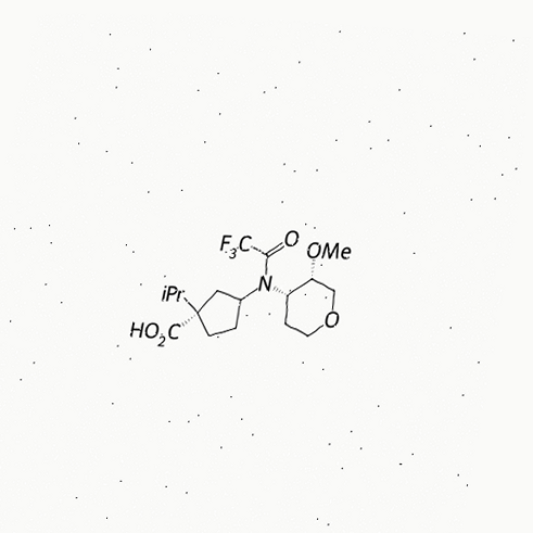 CO[C@@H]1COCC[C@@H]1N(C(=O)C(F)(F)F)C1CC[C@@](C(=O)O)(C(C)C)C1